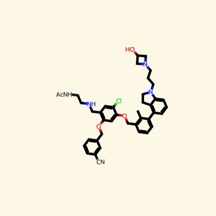 CC(=O)NCCNCc1cc(Cl)c(OCc2cccc(-c3cccc4c3CCN4CCCN3CC(O)C3)c2C)cc1OCc1cccc(C#N)c1